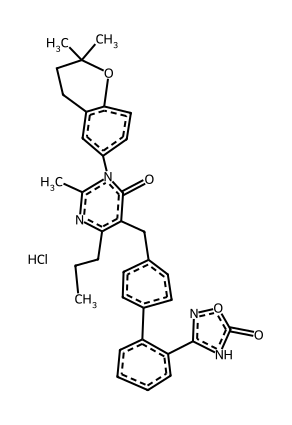 CCCc1nc(C)n(-c2ccc3c(c2)CCC(C)(C)O3)c(=O)c1Cc1ccc(-c2ccccc2-c2noc(=O)[nH]2)cc1.Cl